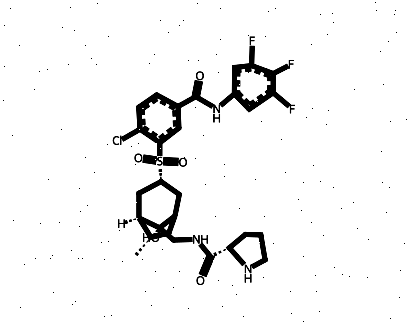 C[C@H]1CC2C[C@@H](S(=O)(=O)c3cc(C(=O)Nc4cc(F)c(F)c(F)c4)ccc3Cl)C[C@H]1[C@@]2(O)CNC(=O)[C@@H]1CCCN1